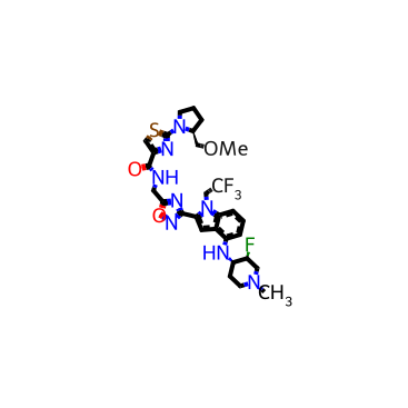 COC[C@@H]1CCCN1c1nc(C(=O)NCc2nc(-c3cc4c(N[C@@H]5CCN(C)C[C@@H]5F)cccc4n3CC(F)(F)F)no2)cs1